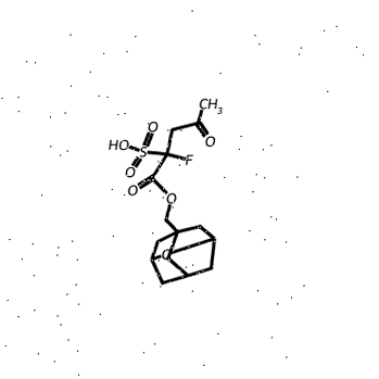 CC(=O)CC(F)(C(=O)OCC12CC3CC(CC(C3)C1)C2)S(=O)(=O)O